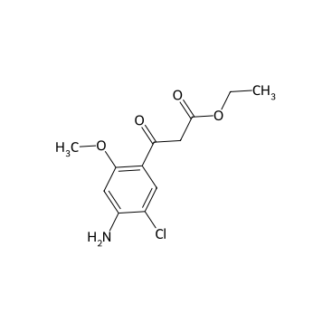 CCOC(=O)CC(=O)c1cc(Cl)c(N)cc1OC